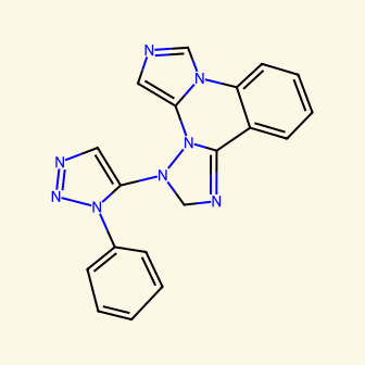 c1ccc(-n2nncc2N2CN=C3c4ccccc4-n4cncc4N32)cc1